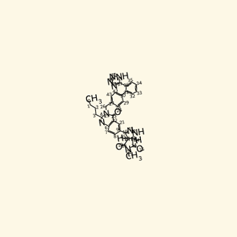 CCCCc1nc2ccc(C3=NN[C@@H]4C(=O)N(C)C(=O)[C@H]34)cc2c(=O)n1Cc1ccc(-c2ccccc2-c2nnn[nH]2)cc1